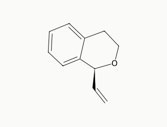 C=C[C@@H]1OCCc2ccccc21